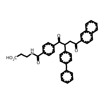 O=C(O)CCNC(=O)c1ccc(C(=O)C(CC(=O)c2ccc3ccccc3c2)c2ccc(-c3ccccc3)cc2)cc1